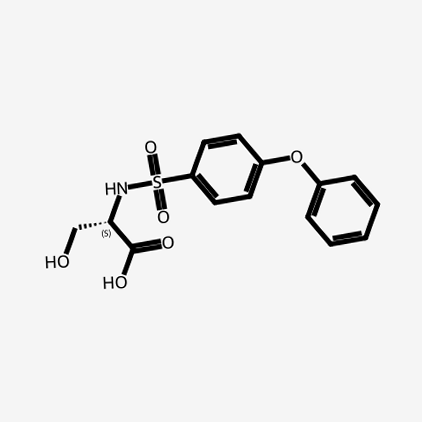 O=C(O)[C@H](CO)NS(=O)(=O)c1ccc(Oc2ccccc2)cc1